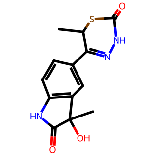 CC1SC(=O)NN=C1c1ccc2c(c1)C(C)(O)C(=O)N2